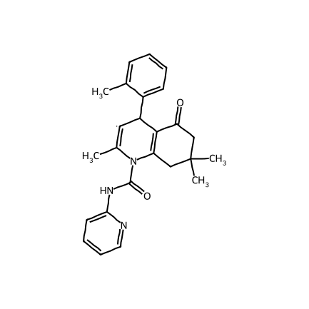 CC1=[C]C(c2ccccc2C)C2=C(CC(C)(C)CC2=O)N1C(=O)Nc1ccccn1